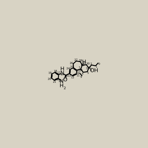 CCC[C@@]1(O)CC[C@@]2(CC)c3ccc(C(=O)Nc4ccccc4N)cc3CCC[C@H]2C1